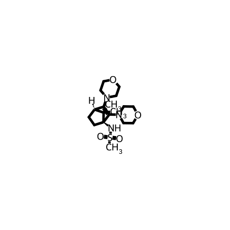 CC1(C)[C@H]2CC[C@@]1(NS(C)(=O)=O)C(N1CCOCC1)=C2N1CCOCC1